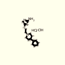 Cl.Cl.Nc1nnc(SCCN2CC=C(c3ccccc3)CC2)s1